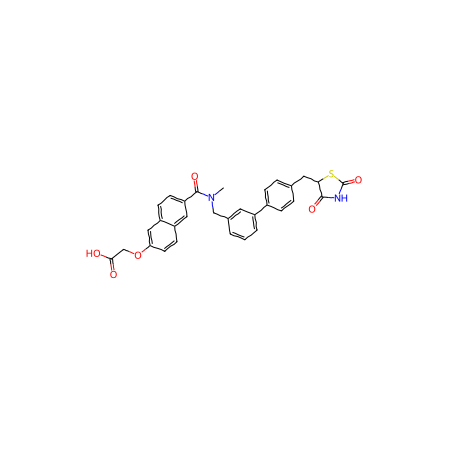 CN(Cc1cccc(-c2ccc(CC3SC(=O)NC3=O)cc2)c1)C(=O)c1ccc2cc(OCC(=O)O)ccc2c1